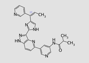 C/C=C(/c1cccnc1)c1c[nH]c(-c2n[nH]c3ccc(-c4cncc(NC(=O)C(C)C)c4)nc23)n1